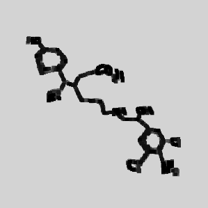 CCC(c1ccc(O)cc1)C(CCCNCC(O)c1cc(Cl)c(N)c(Cl)c1)CC(=O)O